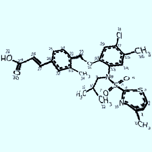 Cc1csc(S(=O)(=O)N(CC(C)C)c2cc(C)c(Cl)cc2OCc2ccc(C=CC(=O)O)cc2C)n1